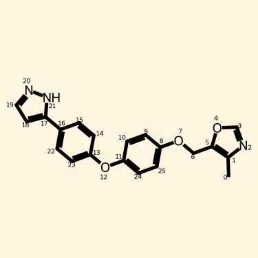 Cc1ncoc1COc1ccc(Oc2ccc(-c3ccn[nH]3)cc2)cc1